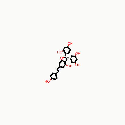 Oc1ccc(/C=C/c2cc(O)c3c(c2)O[C@H](c2ccc(O)cc2O)[C@H]3c2cc(O)cc(O)c2)cc1